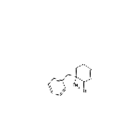 CC1(Cc2ccccc2)CCC=[C]C1=O